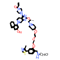 C=CC(=O)N1CCN(c2nc(O[C@H](C)CN3CCC(OCCOCCOc4cc(-c5scnc5C)ccc4CNC=O)CC3)nc3c2CCN(c2cc(O)cc4ccccc24)C3)CC1